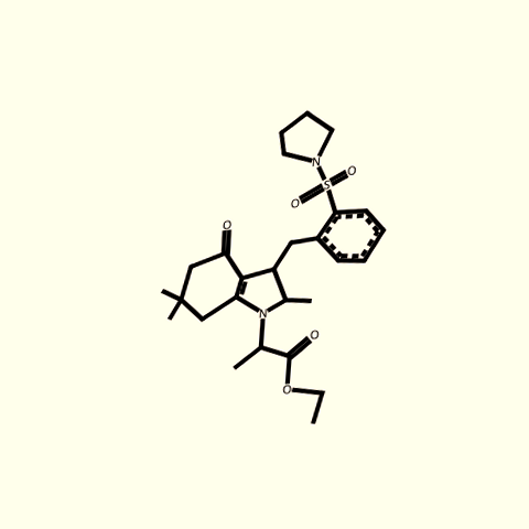 CCOC(=O)C(C)N1C2=C(C(=O)CC(C)(C)C2)C(Cc2ccccc2S(=O)(=O)N2CCCC2)C1C